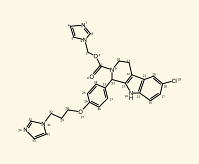 O=C(OCn1ccnc1)N1CCc2c([nH]c3ccc(Cl)cc23)C1c1ccc(OCCCn2ccnc2)cc1